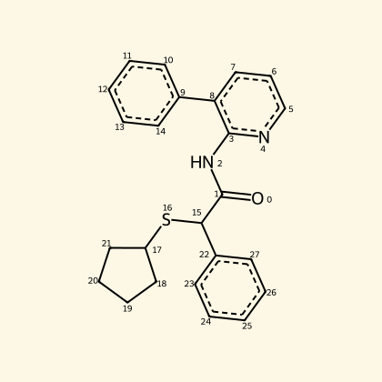 O=C(Nc1ncccc1-c1ccccc1)C(SC1CCCC1)c1ccccc1